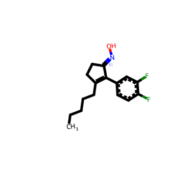 CCCCCC1=C(c2ccc(F)c(F)c2)/C(=N/O)CC1